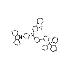 CC1(C)c2ccccc2-c2ccc(N(c3ccc(-n4c5c(c6ccccc64)C=CCC5)cc3)c3cccc(-c4cccc5c4-c4ccccc4C5(c4ccccc4)c4ccccc4)c3)cc21